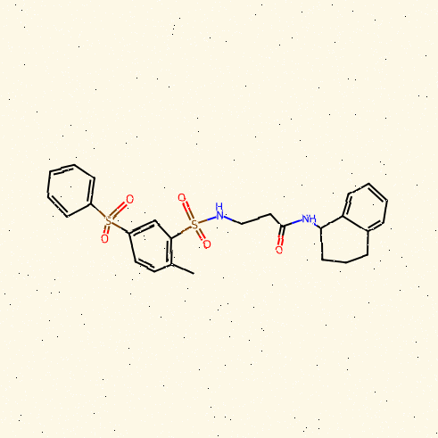 Cc1ccc(S(=O)(=O)c2ccccc2)cc1S(=O)(=O)NCCC(=O)NC1CCCc2ccccc21